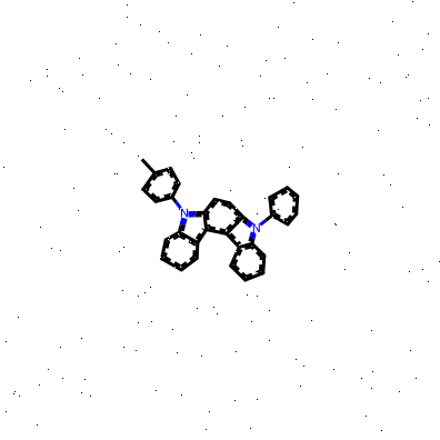 Cc1ccc(-n2c3ccccc3c3c4c5ccccc5n(-c5ccccc5)c4ccc32)cc1